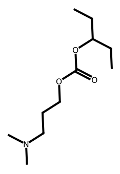 CCC(CC)OC(=O)OCCCN(C)C